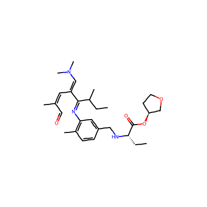 CCC(C)C(=N\c1cc(CN[C@@H](CC)C(=O)O[C@H]2CCOC2)ccc1C)/C(/C=C(/C)C=O)=C/N(C)C